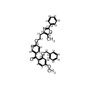 COc1ccc(C(=O)c2ccc(OCCc3nc(-c4ccccc4)oc3C)nc2)c(OCc2ccccc2)c1